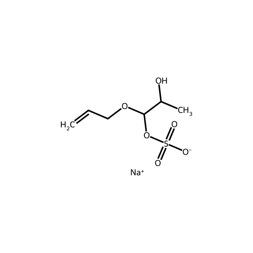 C=CCOC(OS(=O)(=O)[O-])C(C)O.[Na+]